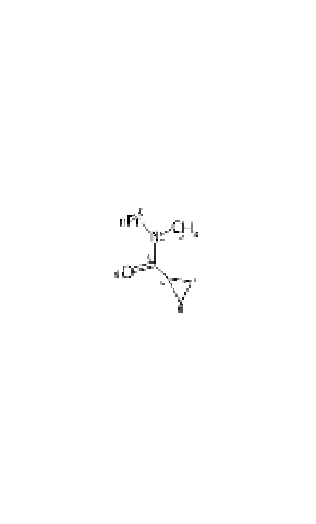 CCCN(C)C(=O)C1CC1